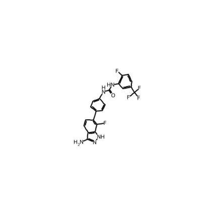 Nc1n[nH]c2c(F)c(-c3ccc(NC(=O)Nc4cc(C(F)(F)F)ccc4F)cc3)ccc12